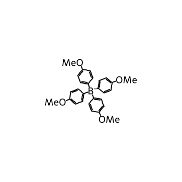 COc1ccc([B-](c2ccc(OC)cc2)(c2ccc(OC)cc2)c2ccc(OC)cc2)cc1